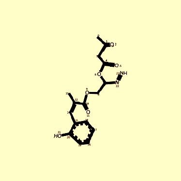 CC(=O)CC(=O)OC(COC(=O)C(C)=Cc1ccccc1O)N=N